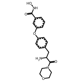 NC(Cc1ccc(Oc2cccc(C(=O)NO)c2)cc1)C(=O)N1CCOCC1